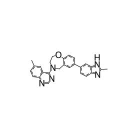 Cc1ccc2ncnc(N3CCOc4ccc(-c5ccc6nc(C)[nH]c6c5)cc4C3)c2c1